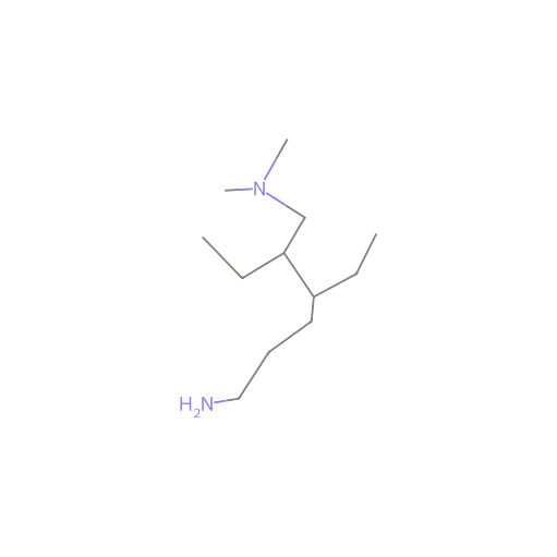 CCC(CCCN)C(CC)CN(C)C